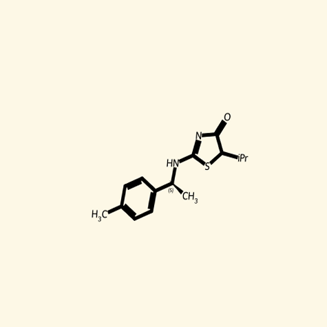 Cc1ccc([C@H](C)NC2=NC(=O)C(C(C)C)S2)cc1